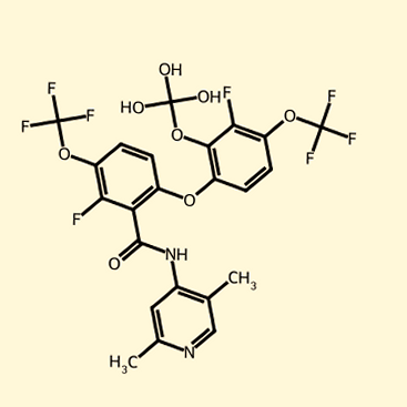 Cc1cc(NC(=O)c2c(Oc3ccc(OC(F)(F)F)c(F)c3OC(O)(O)O)ccc(OC(F)(F)F)c2F)c(C)cn1